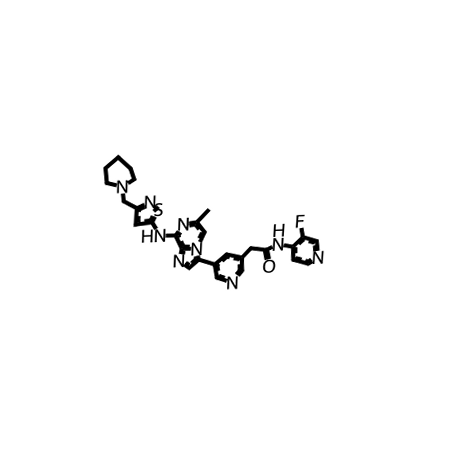 Cc1cn2c(-c3cncc(CC(=O)Nc4ccncc4F)c3)cnc2c(Nc2cc(CN3CCCCC3)ns2)n1